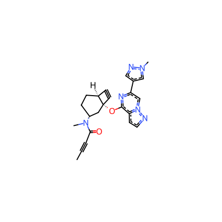 CC#CC(=O)N(C)[C@@H]1CC[C@H]2C#C[C@@]2(Oc2nc(-c3cnn(C)c3)cn3nccc23)C1